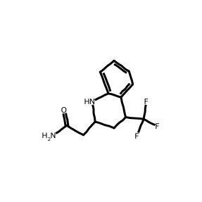 NC(=O)CC1CC(C(F)(F)F)c2ccccc2N1